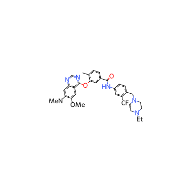 CCN1CCN(Cc2ccc(NC(=O)c3ccc(C)c(Oc4ncnc5cc(NC)c(OC)cc45)c3)cc2C(F)(F)F)CC1